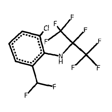 FC(F)c1cccc(Cl)c1NC(F)(C(F)(F)F)C(F)(F)F